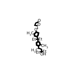 CCC(O)(CC)CC(C)c1ccc(C(CC)(CC)c2ccc(OC[C@@H]3CCC(=O)O3)c(C)c2)cc1C